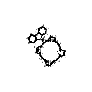 C1=Cc2cc3ccc([nH]3)c([SiH]3c4ccccc4-c4ccccc43)c3nc(cc4ccc(cc1n2)[nH]4)C=C3